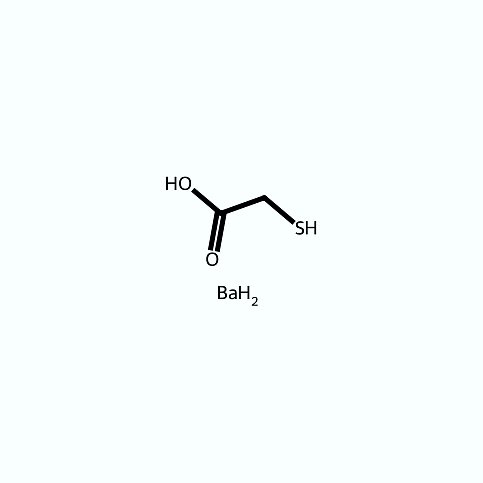 O=C(O)CS.[BaH2]